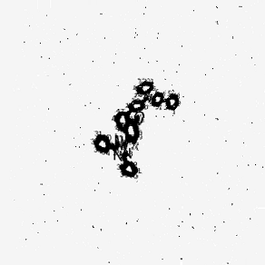 c1ccc(-c2ccc(N(c3ccccc3)c3ccc4c(c3)Oc3ccc(-c5nc(-c6ccccc6)nc(-c6ccccc6)n5)c5cccc-4c35)cc2)cc1